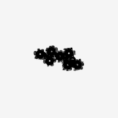 c1ccc(-n2c3ccccc3c3c(-c4ccc5c(c4)c4ccccc4n5-c4cccc5c4oc4ccccc45)cccc32)cc1